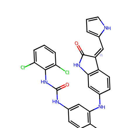 Cc1ccc(NC(=O)Nc2c(Cl)cccc2Cl)cc1Nc1ccc2c(c1)NC(=O)/C2=C\c1ccc[nH]1